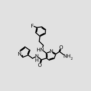 NC(=O)c1ccc(C(=O)NCc2cccnc2)c(NCCc2cccc(F)c2)n1